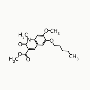 CCCCCOc1cc2cc(C(=O)OC)c(=O)n(C)c2cc1OC